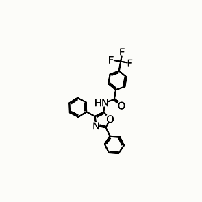 O=C(Nc1oc(-c2ccccc2)nc1-c1ccccc1)c1ccc(C(F)(F)F)cc1